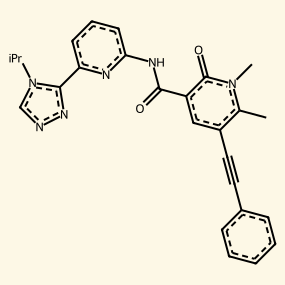 Cc1c(C#Cc2ccccc2)cc(C(=O)Nc2cccc(-c3nncn3C(C)C)n2)c(=O)n1C